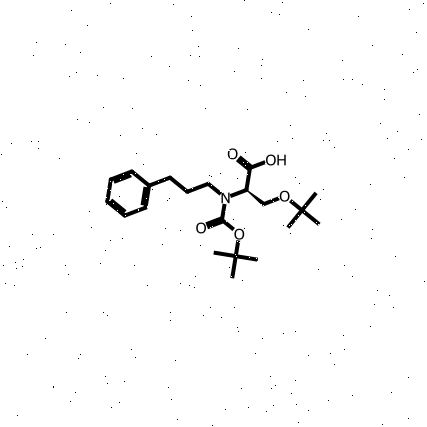 CC(C)(C)OC[C@H](C(=O)O)N(CCCc1ccccc1)C(=O)OC(C)(C)C